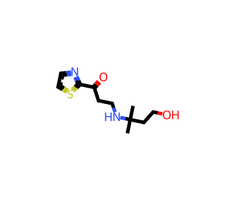 CC(C)(CCO)NCCC(=O)c1nccs1